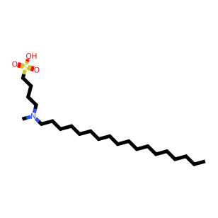 CCCCCCCCCCCCCCCCCCN(C)CCCCS(=O)(=O)O